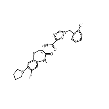 CN1C(=O)[C@@H](NC(=O)c2ncn(Cc3ccccc3Cl)n2)CSc2cc(N3CCCC3)c(F)cc21